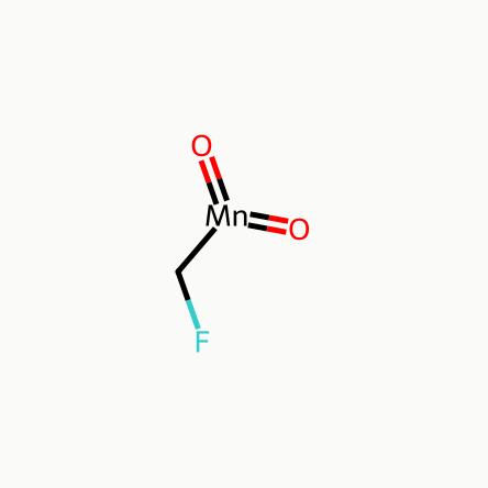 [O]=[Mn](=[O])[CH2]F